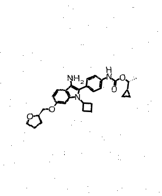 C[C@@H](OC(=O)Nc1ccc(-c2c(N)c3ccc(OC[C@H]4CCCO4)cc3n2C2CCC2)cc1)C1CC1